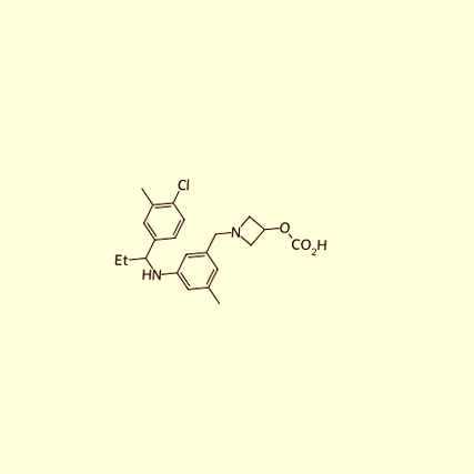 CCC(Nc1cc(C)cc(CN2CC(OC(=O)O)C2)c1)c1ccc(Cl)c(C)c1